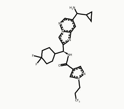 NC(c1cnn2cc([C@@H](NC(=O)c3cnn(CCC(F)(F)F)c3)C3CCC(F)(F)CC3)nc2c1)C1CC1